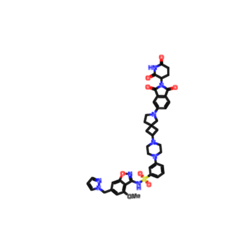 COc1cc(Cn2cccn2)cc2onc(NS(=O)(=O)c3cccc(N4CCN(C5CC6(CCN(c7ccc8c(c7)C(=O)N(C7CCC(=O)NC7=O)C8=O)C6)C5)CC4)c3)c12